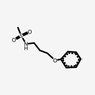 CS(=O)(=O)NCCCOc1cc[c]cc1